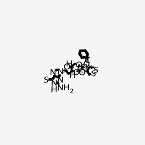 Nc1nc2c(ncn2[C@H]2C[C@@H]3O[P@@](=O)(O[C@@H]4CSSC[C@@H]4OCc4ccccc4)OC[C@H]3O2)c(=S)[nH]1